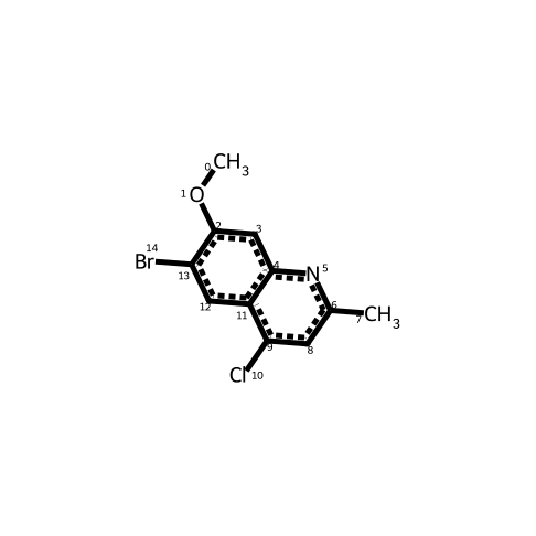 COc1cc2nc(C)cc(Cl)c2cc1Br